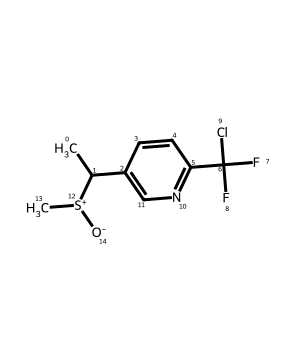 CC(c1ccc(C(F)(F)Cl)nc1)[S+](C)[O-]